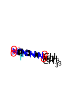 CC(C)(C)OC(=O)N1CC2(C1)CN(C1CCN(c3ccc([N+](=O)[O-])cc3F)CC1)C2